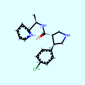 C[C@@H](NC(=O)[C@@H]1CNC[C@H]1c1ccc(Cl)cc1)c1ccccn1